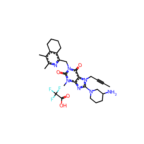 CC#CCn1c(N2CCCC(N)C2)nc2c1c(=O)n(Cc1nc(C)c(C)c3c1CCCC3)c(=O)n2C.O=C(O)C(F)(F)F